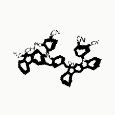 CC1(C)c2ccccc2-c2cc3c4cc(CC5(C)c6ccccc6-c6cc7c8ccccc8n(-c8ccc(C#N)c(C#N)c8)c7cc65)ccc4n(-c4ccc(C#N)cc4C#N)c3cc21